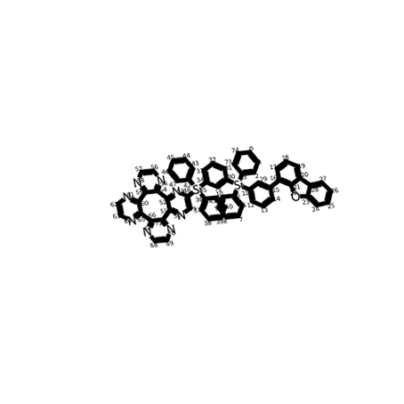 c1ccc([Si](c2ccccc2)(c2cccc(-c3cccc4c3oc3ccccc34)c2)c2cccc([Si](c3ccccc3)(c3ccccc3)c3cnc4c(n3)-c3nccnc3-c3nccnc3-c3nccnc3-4)c2)cc1